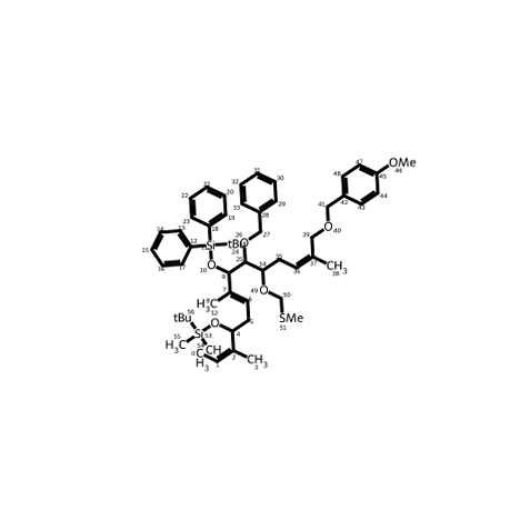 C/C=C(/C)C(C/C=C(\C)C(O[Si](c1ccccc1)(c1ccccc1)C(C)(C)C)C(OCc1ccccc1)C(C/C=C(/C)COCc1ccc(OC)cc1)OCSC)O[Si](C)(C)C(C)(C)C